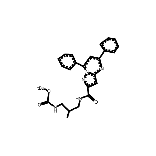 CC(CNC(=O)OC(C)(C)C)CNC(=O)c1cc2nc(-c3ccccc3)cc(-c3ccccc3)n2n1